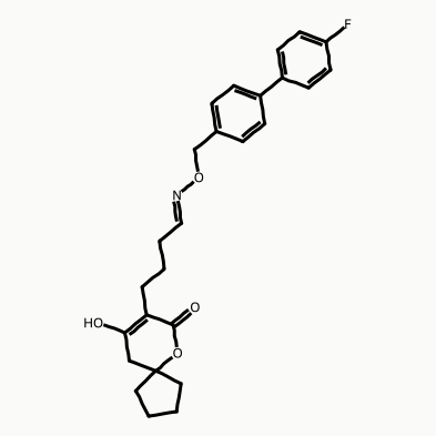 O=C1OC2(CCCC2)CC(O)=C1CCCC=NOCc1ccc(-c2ccc(F)cc2)cc1